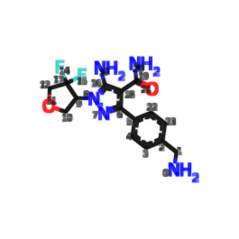 NCc1ccc(-c2nn(C3COCC3(F)F)c(N)c2C(N)=O)cc1